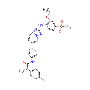 CCOc1cc(S(C)(=O)=O)ccc1Nc1nc2ccc(-c3ccc(NC(=O)C(C)c4ccc(F)cc4)cc3)cn2n1